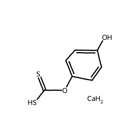 Oc1ccc(OC(=S)S)cc1.[CaH2]